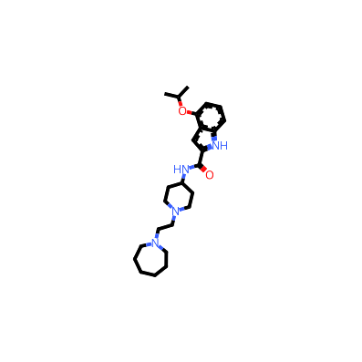 CC(C)Oc1cccc2[nH]c(C(=O)NC3CCN(CCN4CCCCCC4)CC3)cc12